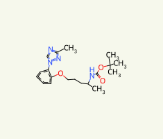 Cc1ncn(-c2ccccc2OCCCC(C)NC(=O)OC(C)(C)C)n1